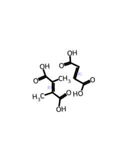 C/C(C(=O)O)=C(/C)C(=O)O.O=C(O)/C=C/C(=O)O